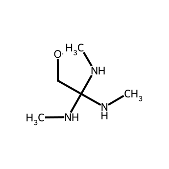 CNC(C[O])(NC)NC